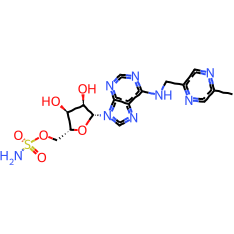 Cc1cnc(CNc2ncnc3c2ncn3[C@@H]2O[C@H](COS(N)(=O)=O)[C@@H](O)[C@H]2O)cn1